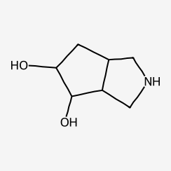 OC1CC2CNCC2C1O